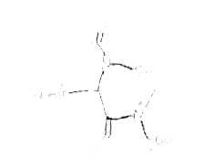 CCCCCC(C(=S)N(C)CCCC)N([C]=S)C(C)(C)C